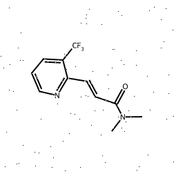 CN(C)C(=O)C=Cc1ncccc1C(F)(F)F